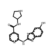 O=C(NC1CCNC1)c1ccnc(Nc2nc3ccc(O)cc3s2)c1